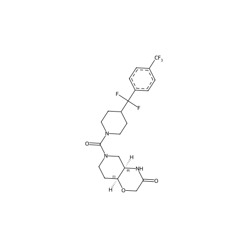 O=C1CO[C@H]2CCN(C(=O)N3CCC(C(F)(F)c4ccc(C(F)(F)F)cc4)CC3)C[C@H]2N1